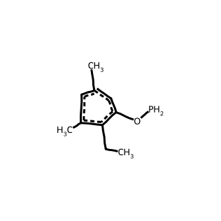 CCc1c(C)cc(C)cc1OP